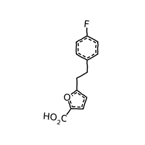 O=C(O)c1ccc(CCc2ccc(F)cc2)o1